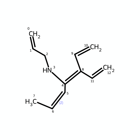 C=CCNC(/C=C\C)=C(C=C)C=C